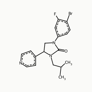 C[C](C)CN1C(=O)N(c2ccc(Br)c(F)c2)CC1c1ccncc1